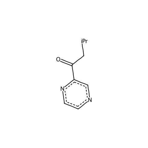 CC(C)CC(=O)c1cnccn1